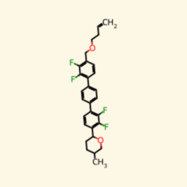 C=CCCOCc1ccc(-c2ccc(-c3ccc(C4CCC(C)CO4)c(F)c3F)cc2)c(F)c1F